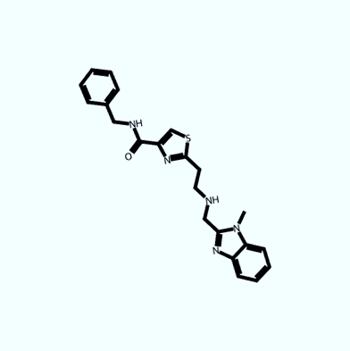 Cn1c(CNCCc2nc(C(=O)NCc3ccccc3)cs2)nc2ccccc21